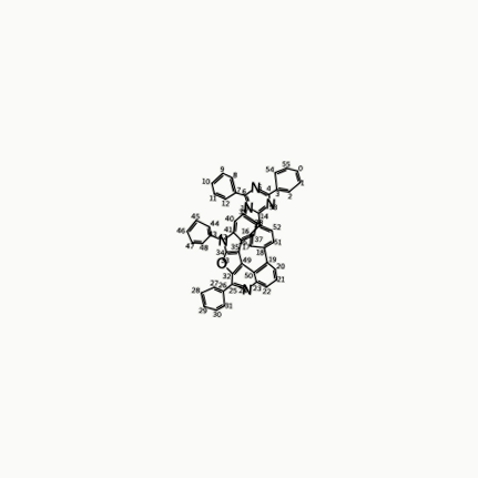 c1ccc(-c2nc(-c3ccccc3)nc(-c3ccc(-c4cccc5nc(-c6ccccc6)c6oc7c(c8ccccc8n7-c7ccccc7)c6c45)cc3)n2)cc1